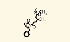 COC(CC(C)CCC(=O)N1C(=O)OC[C@@H]1Cc1ccccc1)OC